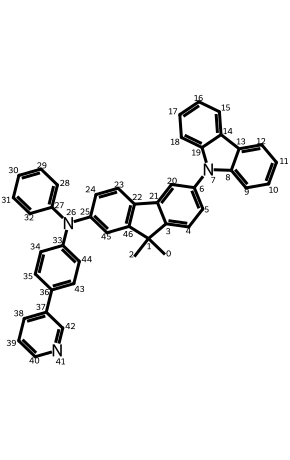 CC1(C)c2ccc(-n3c4ccccc4c4ccccc43)cc2-c2ccc(N(c3ccccc3)c3ccc(-c4cccnc4)cc3)cc21